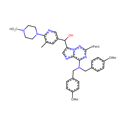 CCCCCc1nc(N(Cc2ccc(OC)cc2)Cc2ccc(OC)cc2)c2ncc(C(O)c3cnc(N4CCN(C(=O)O)CC4)c(C)c3)n2n1